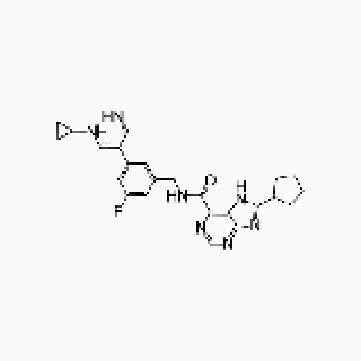 N=C/C(=C\NC1CC1)c1cc(F)cc(CNC(=O)c2ncnc3nc(C4CCCC4)[nH]c23)c1